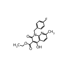 CCOC(=O)c1c(O)c2ccc(C)nc2n(Cc2ccc(F)cc2)c1=O